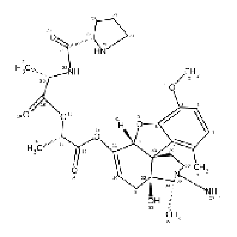 COc1ccc(C)c2c1O[C@H]1C(OC(=O)[C@H](C)OC(=O)[C@H](C)NC(=O)[C@@H]3CCCN3)=CC[C@@]3(O)[C@@H](C)N(N)CC[C@]213